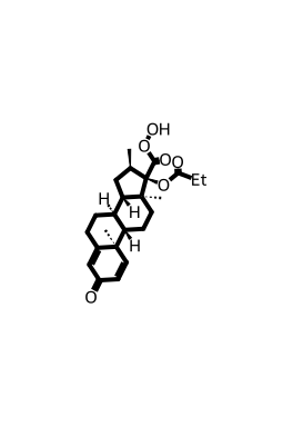 CCC(=O)O[C@]1(C(=O)OO)[C@H](C)C[C@H]2[C@@H]3CCC4=CC(=O)C=C[C@]4(C)[C@H]3CC[C@@]21C